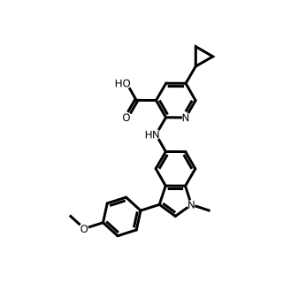 COc1ccc(-c2cn(C)c3ccc(Nc4ncc(C5CC5)cc4C(=O)O)cc23)cc1